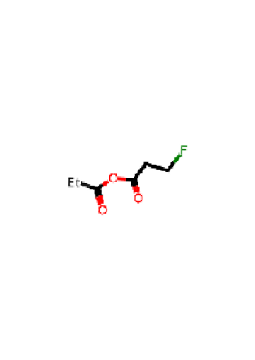 CCC(=O)OC(=O)CCF